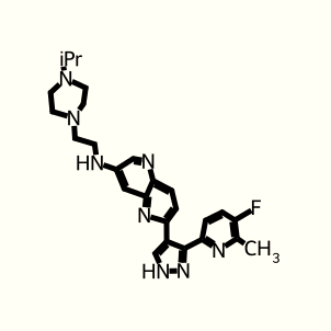 Cc1nc(-c2n[nH]cc2-c2ccc3ncc(NCCN4CCN(C(C)C)CC4)cc3n2)ccc1F